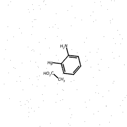 CC(=O)O.Nc1cccc[c]1[Hg]